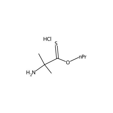 CCCOC(=S)C(C)(C)N.Cl